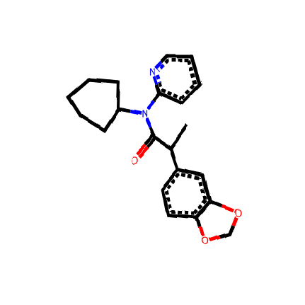 CC(C(=O)N(c1ccccn1)C1CCCCC1)c1ccc2c(c1)OCO2